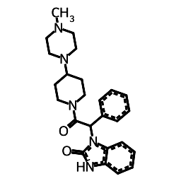 CN1CCN(C2CCN(C(=O)C(c3ccccc3)n3c(=O)[nH]c4ccccc43)CC2)CC1